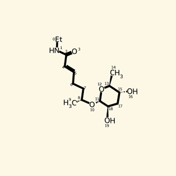 CCNC(=O)/C=C/CC[C@@H](C)O[C@@H]1O[C@@H](C)[C@H](O)C[C@H]1O